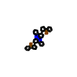 c1ccc2c(c1)sc1c(-c3ccc4c5c3c3ccccc3n5c3ccc(-c5cccc6c5sc5ccccc56)c5c6ccccc6n4c53)cccc12